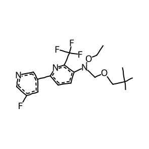 CCON(COCC(C)(C)C)c1ccc(-c2cncc(F)c2)nc1C(F)(F)F